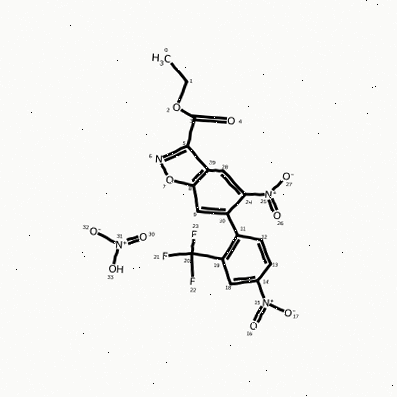 CCOC(=O)c1noc2cc(-c3ccc([N+](=O)[O-])cc3C(F)(F)F)c([N+](=O)[O-])cc12.O=[N+]([O-])O